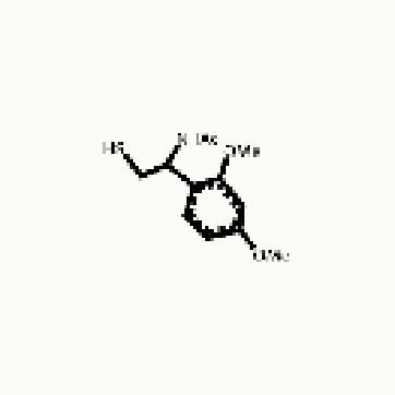 COc1ccc(C(CS)NC(C)=O)c(OC)c1